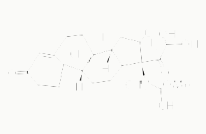 COC(C)O[C@]1(C(=O)C(O)O)C(C)C[C@H]2[C@@H]3CCC4=CC(=O)CC[C@]4(C)[C@H]3CC[C@@]21C